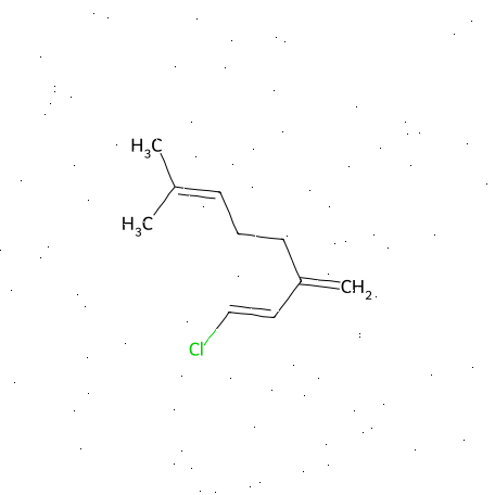 C=C(C=CCl)CCC=C(C)C